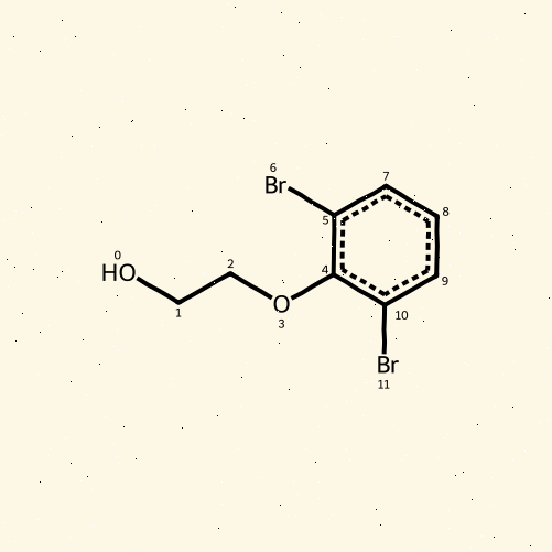 OCCOc1c(Br)cccc1Br